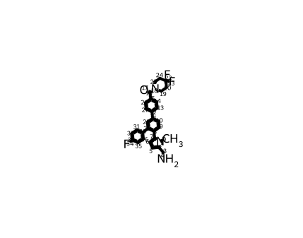 Cn1c(CN)ccc1-c1ccc(-c2ccc(C(=O)N3CCC(F)(F)CC3)cc2)cc1-c1ccc(F)cc1